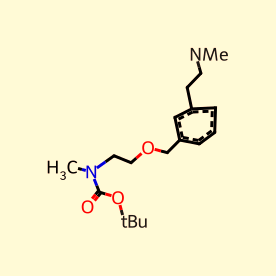 CNCCc1cccc(COCCN(C)C(=O)OC(C)(C)C)c1